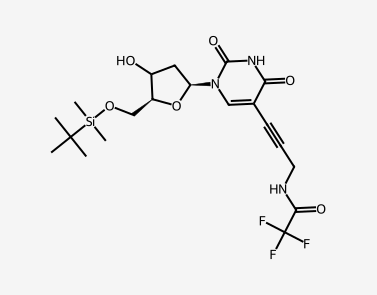 CC(C)(C)[Si](C)(C)OC[C@@H]1O[C@H](n2cc(C#CCNC(=O)C(F)(F)F)c(=O)[nH]c2=O)CC1O